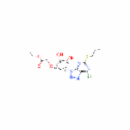 CCCSc1nc(Cl)c2nnn([C@@H]3C[C@H](OCC(=O)OCC)[C@H](O)[C@H]3O)c2n1